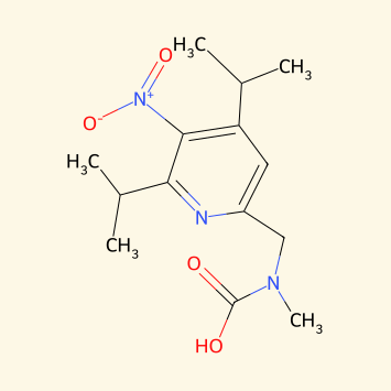 CC(C)c1cc(CN(C)C(=O)O)nc(C(C)C)c1[N+](=O)[O-]